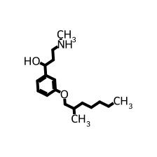 CCCCCC(C)COc1cccc(C(O)CCNC)c1